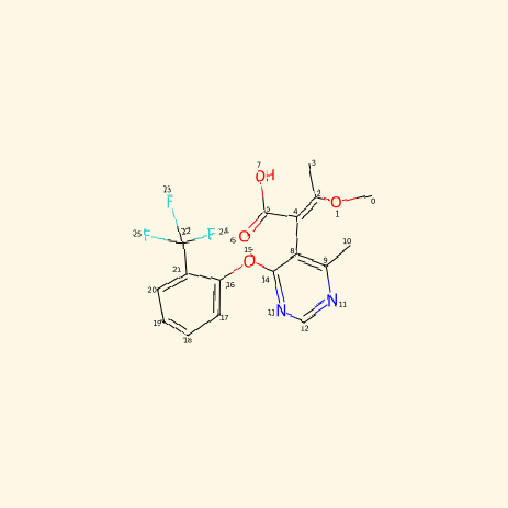 COC(C)=C(C(=O)O)c1c(C)ncnc1Oc1ccccc1C(F)(F)F